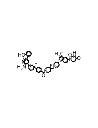 Cc1cn(C2CCN(CC3(F)CCN(C(=O)c4ccc([C@@]5(F)CCCN(c6cc(-c7ccccc7O)nnc6N)C5)cc4)CC3)CC2)c2ccc(N3CCC(=O)NC3=O)cc12